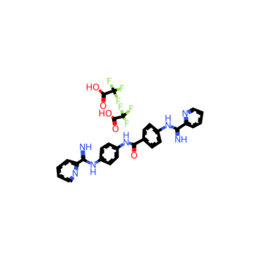 N=C(Nc1ccc(NC(=O)c2ccc(NC(=N)c3ccccn3)cc2)cc1)c1ccccn1.O=C(O)C(F)(F)F.O=C(O)C(F)(F)F